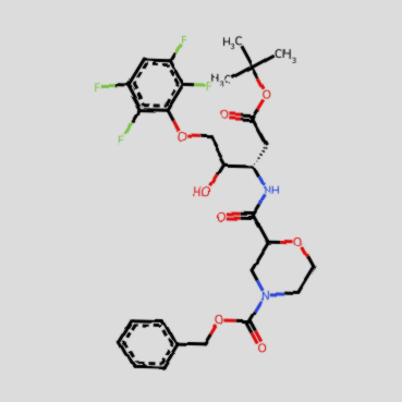 CC(C)(C)OC(=O)C[C@H](NC(=O)C1CN(C(=O)OCc2ccccc2)CCO1)C(O)COc1c(F)c(F)cc(F)c1F